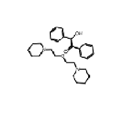 C1CCN(CCOCCN2CCCCC2)CC1.O=C(c1ccccc1)C(O)c1ccccc1